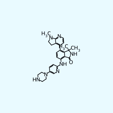 CN1CCc2c(-c3ccc(Nc4ccc(N5CCNCC5)cn4)c4c3C(C)(C)NC4=O)ccnc21